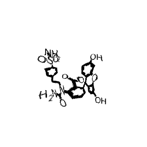 NC(=O)N(CCc1ccc(S(N)(=O)=O)cc1)c1cccc2c1C(=O)OC21c2ccc(O)cc2Oc2cc(O)ccc21